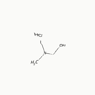 CN(I)CO.Cl